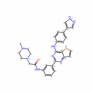 CN1CCN(CC(=O)Nc2cccc(-c3nc(Nc4ccc(-c5cn[nH]c5)cc4)c4sccc4n3)c2)CC1